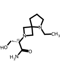 CCN1CCCC12CN([C@@H](CO)C(N)=O)C2